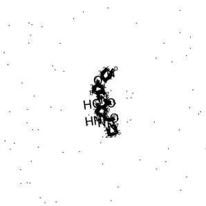 CN1CCC(Oc2ccc3c(c2)CN(C(=O)c2cc4c(C(=O)N5CCCCC5)n[nH]c4cc2O)C3)CC1